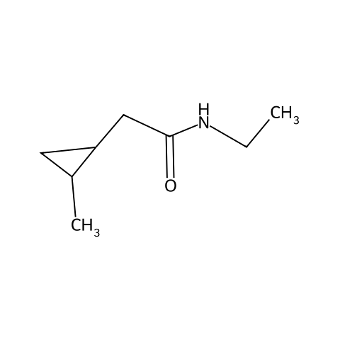 CCNC(=O)CC1CC1C